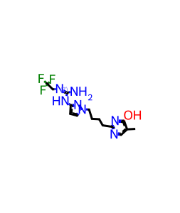 Cc1cnc(CCCCn2ccc(N/C(N)=N\CC(F)(F)F)n2)nc1O